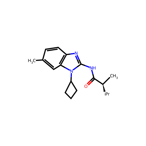 Cc1ccc2nc(NC(=O)[C@@H](C)C(C)C)n(C3CCC3)c2c1